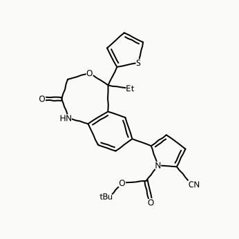 CCC1(c2cccs2)OCC(=O)Nc2ccc(-c3ccc(C#N)n3C(=O)OC(C)(C)C)cc21